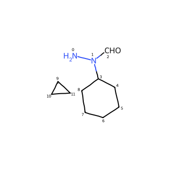 NN(C=O)C1CCCCC1.[CH]1CC1